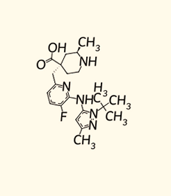 Cc1cc(Nc2nc(C[C@@]3(C(=O)O)CCN[C@H](C)C3)ccc2F)n(C(C)(C)C)n1